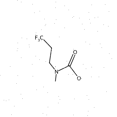 CN(CCC(F)(F)F)C([O])=O